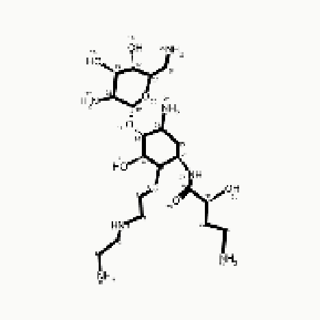 NCCNCCOC1[C@@H](O)[C@H](O[C@H]2OC(CN)[C@@H](O)[C@H](O)C2N)C(N)C[C@H]1NC(=O)[C@@H](O)CCN